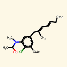 COC/C=C/C=C(\C)Cc1cc(OC)c(Cl)c(N(C)C(C)O)c1